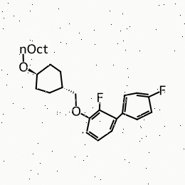 CCCCCCCCO[C@H]1CC[C@H](COc2[c]ccc(-c3ccc(F)cc3)c2F)CC1